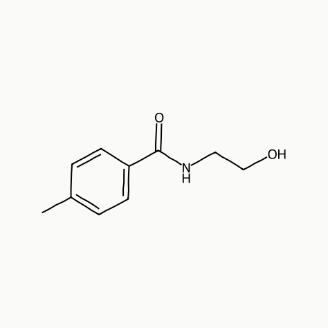 Cc1ccc(C(=O)NCCO)cc1